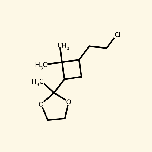 CC1(C2CC(CCCl)C2(C)C)OCCO1